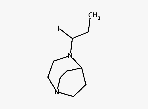 CCC(I)N1CCN2CCC1CC2